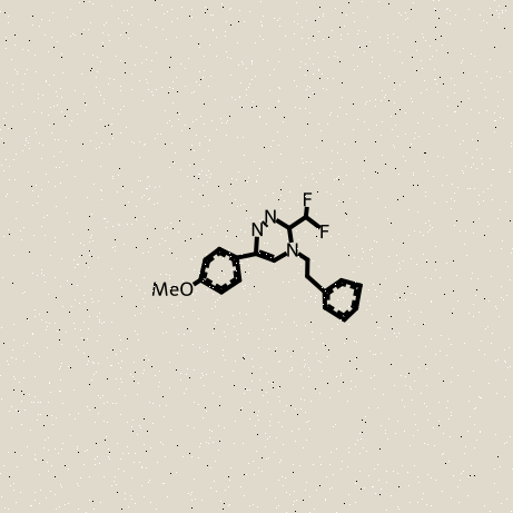 COc1ccc(C2=CN(CCc3ccccc3)C(C(F)F)N=N2)cc1